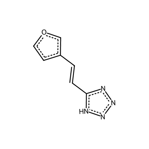 C(=Cc1nnn[nH]1)c1ccoc1